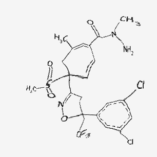 CC1=C(C(=O)N(C)N)C=CC(C2=NOC(c3cc(Cl)cc(Cl)c3)(C(F)(F)F)C2)(S(C)(=O)=O)C1